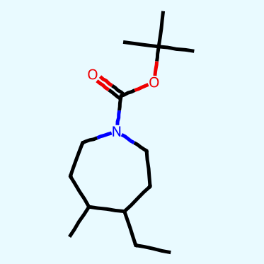 CCC1CCN(C(=O)OC(C)(C)C)CCC1C